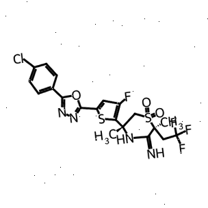 C[C@]1(CC(F)(F)F)C(=N)N[C@](C)(c2sc(-c3nnc(-c4ccc(Cl)cc4)o3)cc2F)CS1(=O)=O